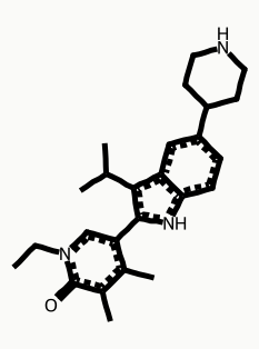 CCn1cc(-c2[nH]c3ccc(C4CCNCC4)cc3c2C(C)C)c(C)c(C)c1=O